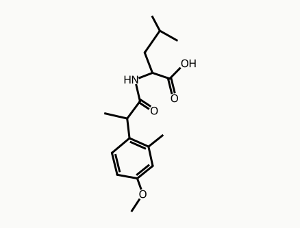 COc1ccc(C(C)C(=O)NC(CC(C)C)C(=O)O)c(C)c1